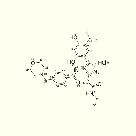 CCNC(=O)Oc1noc(-c2cc(C(C)C)c(O)cc2O)c1NC(=O)c1ccc(CN2CCOCC2)cc1.Cl